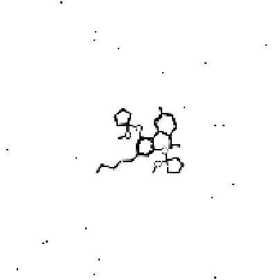 C=C(C)C1CCC(C)=CC1c1c(OC2(OC)CCCC2)cc(CCCCC)cc1OC1(OC)CCCC1